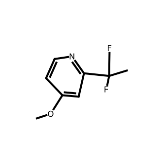 COc1ccnc(C(C)(F)F)c1